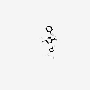 Cc1nn(-c2ccccc2)c2nc(C(=O)O)cc(O[C@H]3C[C@@H](N(C)C)C3)c12